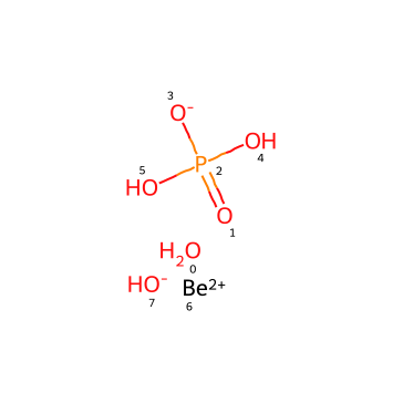 O.O=P([O-])(O)O.[Be+2].[OH-]